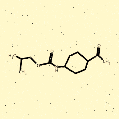 CC(=O)C1CCC(NC(=O)OCC(C)C)CC1